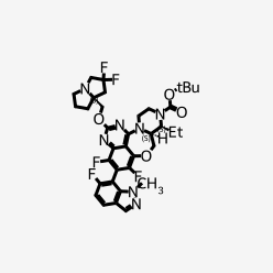 CC[C@H]1[C@H]2COc3c(F)c(-c4c(F)ccc5cnn(C)c45)c(F)c4nc(OC[C@@]56CCCN5CC(F)(F)C6)nc(c34)N2CCN1C(=O)OC(C)(C)C